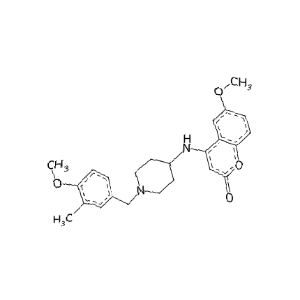 COc1ccc2oc(=O)cc(NC3CCN(Cc4ccc(OC)c(C)c4)CC3)c2c1